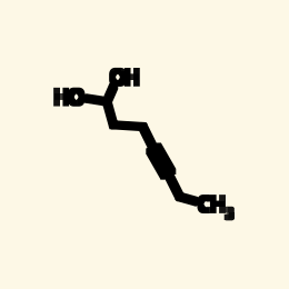 CCC#CCCC(O)O